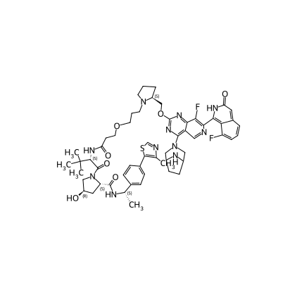 Cc1ncsc1-c1ccc([C@H](C)NC(=O)[C@@H]2C[C@@H](O)CN2C(=O)[C@@H](NC(=O)CCOCCCN2CCC[C@H]2COc2nc(N3CC4CCC(C3)N4)c3cnc(-c4[nH]c(=O)cc5cccc(F)c45)c(F)c3n2)C(C)(C)C)cc1